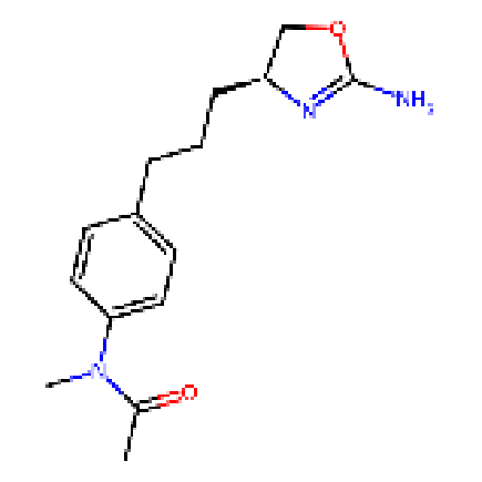 CC(=O)N(C)c1ccc(CCC[C@H]2COC(N)=N2)cc1